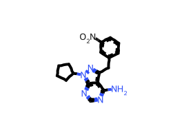 Nc1ncnc2c1c(Cc1cccc([N+](=O)[O-])c1)nn2C1CCCC1